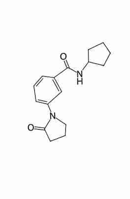 O=C(NC1CCCC1)c1cccc(N2CCCC2=O)c1